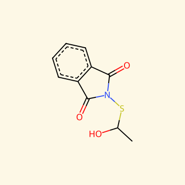 CC(O)SN1C(=O)c2ccccc2C1=O